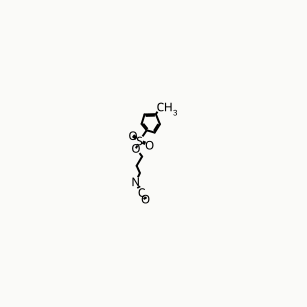 Cc1ccc(S(=O)(=O)OCCCN=C=O)cc1